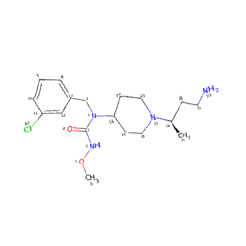 CONC(=O)N(Cc1cccc(Cl)c1)C1CCN([C@H](C)CCN)CC1